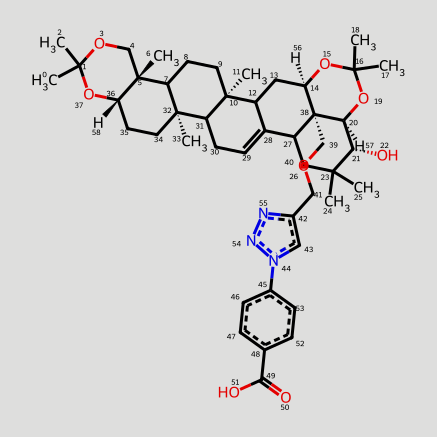 CC1(C)OC[C@]2(C)C3CC[C@@]4(C)C5C[C@H]6OC(C)(C)O[C@H]7[C@H](O)C(C)(C)CC(C5=CCC4[C@@]3(C)CC[C@@H]2O1)[C@@]67COCc1cn(-c2ccc(C(=O)O)cc2)nn1